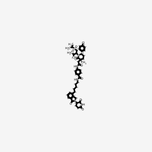 CC(C)C(CS(=O)(=O)C(C)C)N1C(=O)[C@@](C)(CC(=O)Nc2ccc(C(=O)NCCCCCc3cccc4c3CN(C3CCC(=O)NC3=O)C4=O)cc2)CC[C@H]1c1ccc(Cl)cc1